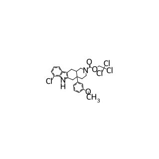 COc1cccc(C23CCN(C(=O)OCC(Cl)(Cl)Cl)CC2Cc2c([nH]c4c(Cl)cccc24)C3)c1